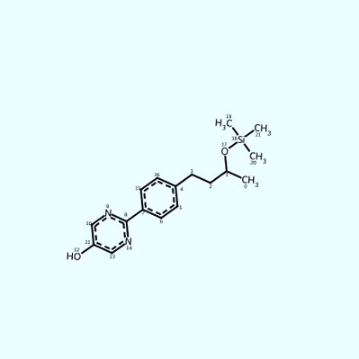 CC(CCc1ccc(-c2ncc(O)cn2)cc1)O[Si](C)(C)C